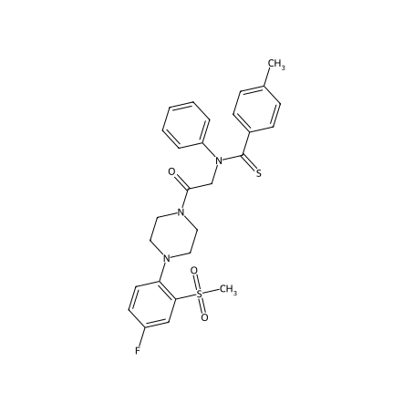 Cc1ccc(C(=S)N(CC(=O)N2CCN(c3ccc(F)cc3S(C)(=O)=O)CC2)c2ccccc2)cc1